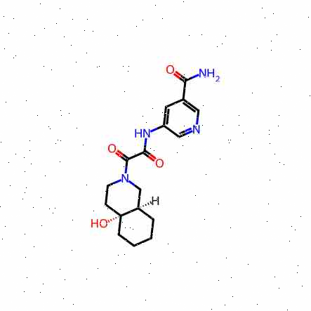 NC(=O)c1cncc(NC(=O)C(=O)N2CC[C@]3(O)CCCC[C@@H]3C2)c1